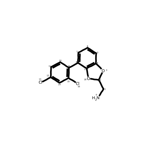 NCC1Oc2cccc(-c3ccc(Cl)cc3Cl)c2O1